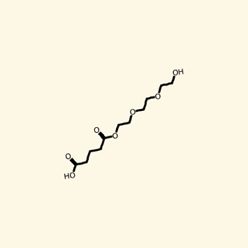 O=C(O)CCCC(=O)OCCOCCOCCO